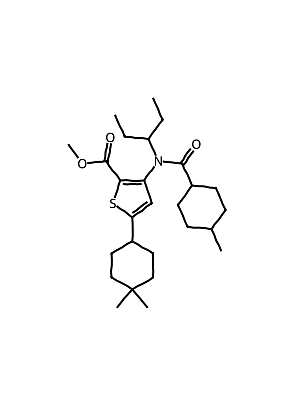 CCC(CC)N(C(=O)C1CCC(C)CC1)c1cc(C2CCC(C)(C)CC2)sc1C(=O)OC